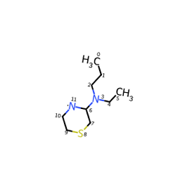 CCCN(CC)C1CSCC[N]1